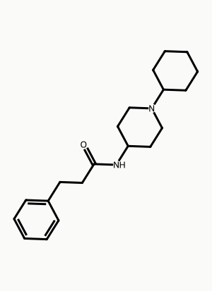 O=C(CCc1ccccc1)NC1CCN(C2CCCCC2)CC1